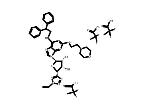 CCn1nnc([C@H]2O[C@@H](n3cnc4c(NCC(c5ccccc5)c5ccccc5)nc(NCCN5CCOCC5)nc43)[C@H](O)[C@@H]2O)n1.O=C(O)C(F)(F)F.O=C(O)C(F)(F)F.O=C(O)C(F)(F)F